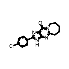 O=c1c2nc(-c3ccc(Cl)cc3)[nH]c2nc2n1CCCCC2